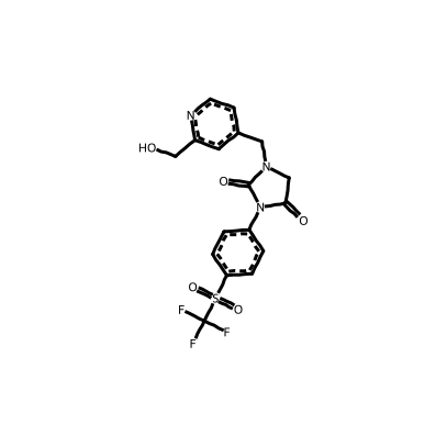 O=C1CN(Cc2ccnc(CO)c2)C(=O)N1c1ccc(S(=O)(=O)C(F)(F)F)cc1